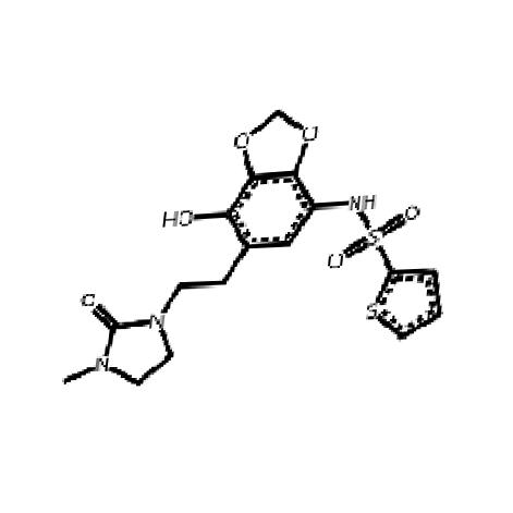 CN1CCN(CCc2cc(NS(=O)(=O)c3cccs3)c3c(c2O)OCO3)C1=O